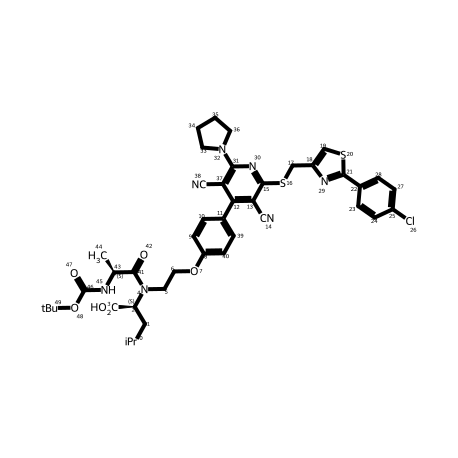 CC(C)C[C@@H](C(=O)O)N(CCOc1ccc(-c2c(C#N)c(SCc3csc(-c4ccc(Cl)cc4)n3)nc(N3CCCC3)c2C#N)cc1)C(=O)[C@H](C)NC(=O)OC(C)(C)C